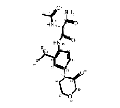 CC(=O)N[C@H](C(N)=O)C(=O)Nc1ccc(N2CCOCC2=O)cc1C(F)F